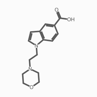 O=C(O)c1ccc2c(ccn2CCN2CCOCC2)c1